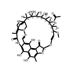 CO[C@H]1/C=C/O[C@@]2(C)Oc3c(C)c(O)c4c(O)c(c(/C=N/N5CCNCC5)c(O)c4c3C2=O)NC(=O)/C(C)=C\C=C\[C@H](C)[C@H](O)[C@@H](C)[C@@H](O)[C@@H](C)[C@H](OC(C)=O)[C@@H]1C